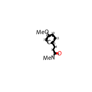 CNC(=O)CCc1ccc(OC)cc1